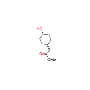 COC(=O)C=C1CCC(O)CC1